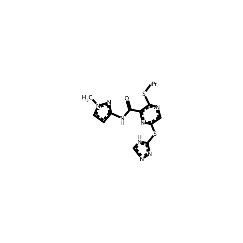 CC(C)Sc1ncc(Sc2nnc[nH]2)nc1C(=O)Nc1ccn(C)n1